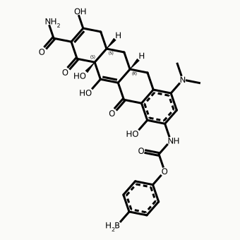 Bc1ccc(OC(=O)Nc2cc(N(C)C)c3c(c2O)C(=O)C2=C(O)[C@]4(O)C(=O)C(C(N)=O)=C(O)C[C@@H]4C[C@@H]2C3)cc1